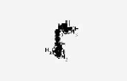 COC(=O)N[C@H](C(=O)N1CCC[C@H]1c1ncc(-c2ccc(-c3cc4cc(-c5cnc([C@@H]6CCCN6C(=O)[C@@H](NC(=O)CO)C(C)C)[nH]5)ccc4o3)cc2)[nH]1)C(C)C